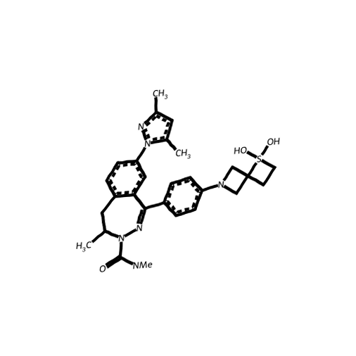 CNC(=O)N1N=C(c2ccc(N3CC4(CCS4(O)O)C3)cc2)c2cc(-n3nc(C)cc3C)ccc2CC1C